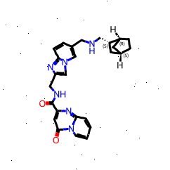 O=C(NCc1cn2cc(CNC[C@H]3C[C@H]4CC[C@@H]3C4)ccc2n1)c1cc(=O)n2ccccc2n1